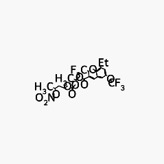 CCc1cc(OC(F)(F)F)cc2c1OC(C(F)(F)F)C(C(=O)OC(C)OC(=O)OCCC(C)O[N+](=O)[O-])=C2